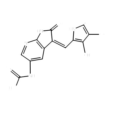 CC(=O)Nc1cnc2c(c1)C(=Cc1[nH]cc(C)c1C)C(=O)N2